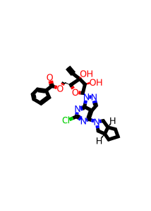 C#C[C@@]1(O)[C@@H](COC(=O)c2ccccc2)O[C@@H](n2ncc3c(N4C[C@H]5CCC[C@H]5C4)nc(Cl)nc32)[C@@H]1O